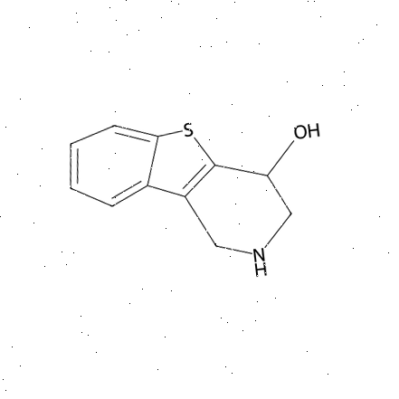 OC1CNCc2c1sc1ccccc21